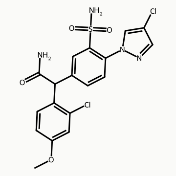 COc1ccc(C(C(N)=O)c2ccc(-n3cc(Cl)cn3)c(S(N)(=O)=O)c2)c(Cl)c1